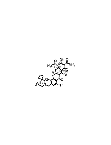 CCC1(CN(Cc2cc(O)c3c(c2Cl)C[C@H]2C[C@H]4[C@H](N(C)C)C(O)=C(C(N)=O)C(=O)[C@@]4(O)C(O)=C2C3=O)CC2CC2)CCC1